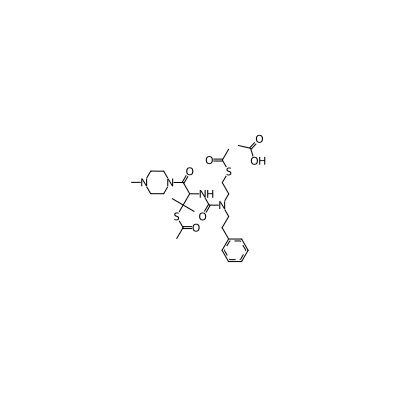 CC(=O)O.CC(=O)SCCN(CCc1ccccc1)C(=O)NC(C(=O)N1CCN(C)CC1)C(C)(C)SC(C)=O